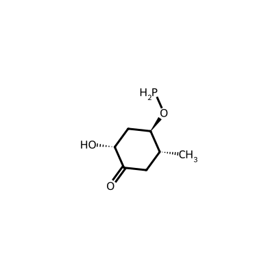 C[C@@H]1CC(=O)[C@H](O)C[C@H]1OP